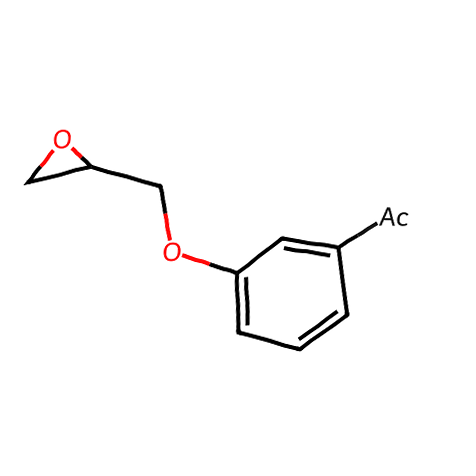 CC(=O)c1cccc(OCC2CO2)c1